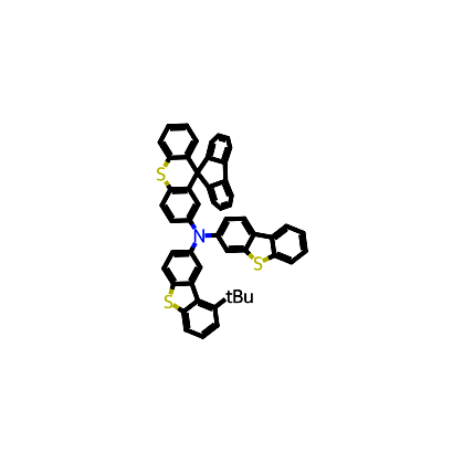 CC(C)(C)c1cccc2sc3ccc(N(c4ccc5c(c4)C4(c6ccccc6S5)c5ccccc5-c5ccccc54)c4ccc5c(c4)sc4ccccc45)cc3c12